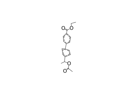 CCOC(=O)c1ccc(-c2ccc(C(C)OC(C)=O)cc2)cc1